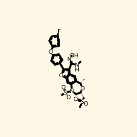 CN/C(=N\O)c1c(-c2ccc(Oc3ccc(F)cc3)cc2)oc2cc3c(cc12)[C@H](C)O[C@H](CS(C)(=O)=O)CN3S(C)(=O)=O